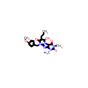 CCCc1c(O)n2c3c(=O)n(C)c(=O)n(C)c3nc2n(Cc2ccc(OC)cc2)c1=O